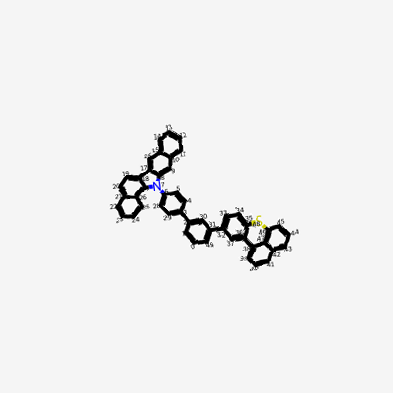 c1cc(-c2ccc(-n3c4cc5ccccc5cc4c4ccc5ccccc5c43)cc2)cc(-c2ccc3c(c2)-c2cccc4cccc(c24)S3)c1